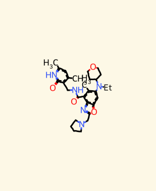 CCN(c1cc2oc(CN3CCCC3)nc2c(C(=O)NCc2c(C)cc(C)[nH]c2=O)c1C)C1CCOCC1